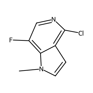 Cn1ccc2c(Cl)ncc(F)c21